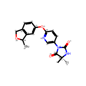 CC[C@@]1(C)NC(=O)N(c2ccc(Oc3ccc4c(c3)C(C(C)(C)C)OC4)nc2)C1=O